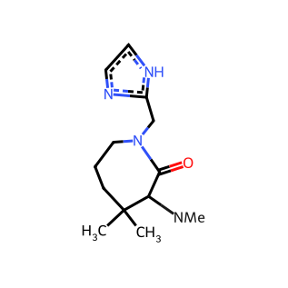 CNC1C(=O)N(Cc2ncc[nH]2)CCCC1(C)C